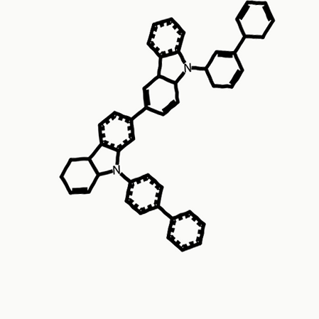 C1=CCC(C2=CC(N3c4ccccc4C4C=C(c5ccc6c(c5)N(c5ccc(-c7ccccc7)cc5)C5C=CCCC65)C=CC43)CC=C2)C=C1